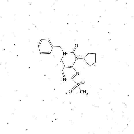 CS(=O)(=O)c1ncc2c(n1)N(C1CCCC1)C(=O)N(Cc1ccccc1)C2